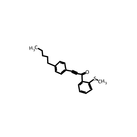 CCCCCc1ccc(C#CC(=O)c2ccccc2SC)cc1